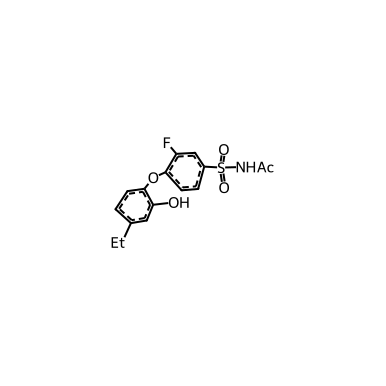 CCc1ccc(Oc2ccc(S(=O)(=O)NC(C)=O)cc2F)c(O)c1